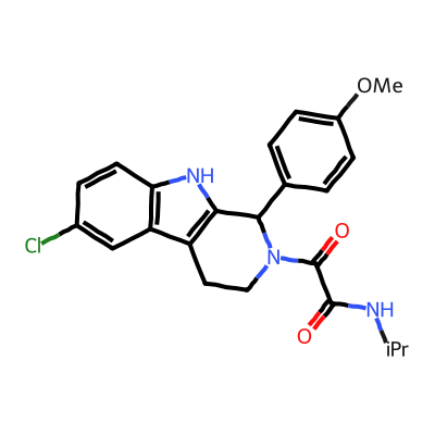 COc1ccc(C2c3[nH]c4ccc(Cl)cc4c3CCN2C(=O)C(=O)NC(C)C)cc1